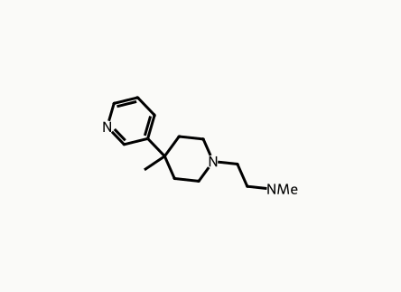 CNCCN1CCC(C)(c2cccnc2)CC1